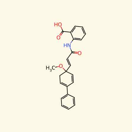 COC1(/C=C/C(=O)Nc2ccccc2C(=O)O)C=CC(c2ccccc2)=CC1